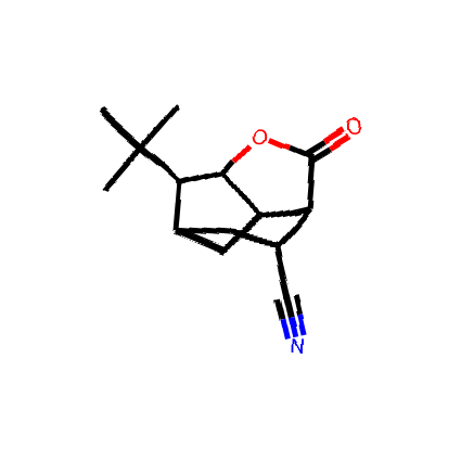 CC(C)(C)C1C2CC3C1OC(=O)C3C2C#N